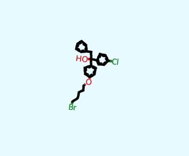 OC(Cc1ccccc1)(c1ccc(Cl)cc1)c1ccc(OCCCCCBr)cc1